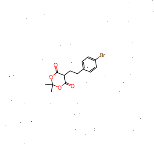 CC1(C)OC(=O)C(CCc2ccc(Br)cc2)C(=O)O1